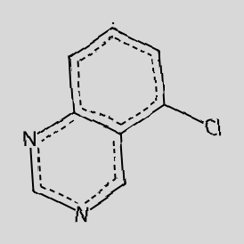 Clc1c[c]cc2ncncc12